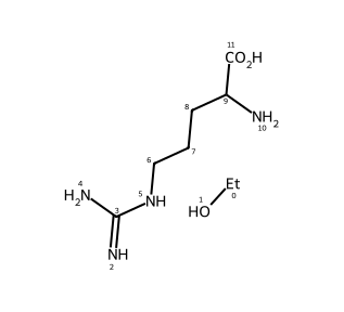 CCO.N=C(N)NCCCC(N)C(=O)O